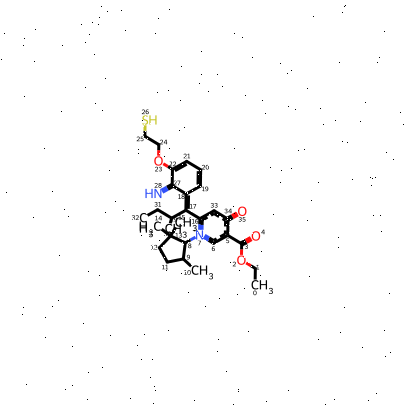 CCOC(=O)c1cn(C2C(C)CCC2(C)C)c(/C(=C2\C=CC=C(OCCS)C2=N)C(C)CC)cc1=O